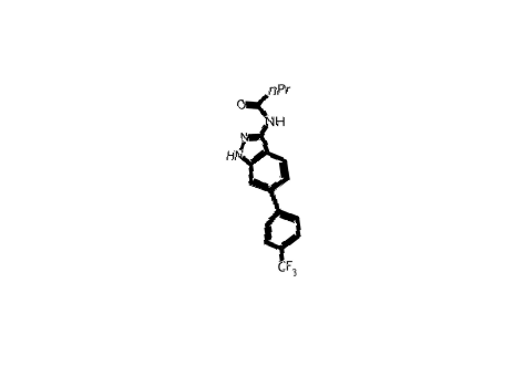 CCCC(=O)Nc1n[nH]c2cc(-c3ccc(C(F)(F)F)cc3)ccc12